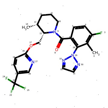 Cc1c(F)ccc(C(=O)N2CCC[C@@H](C)[C@H]2COc2ccc(C(F)(F)F)cn2)c1-n1nccn1